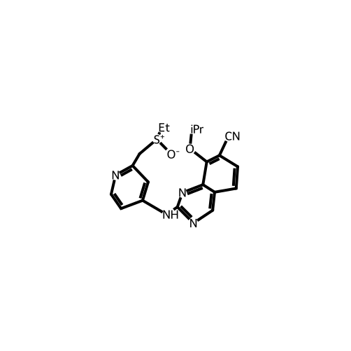 CC[S+]([O-])Cc1cc(Nc2ncc3ccc(C#N)c(OC(C)C)c3n2)ccn1